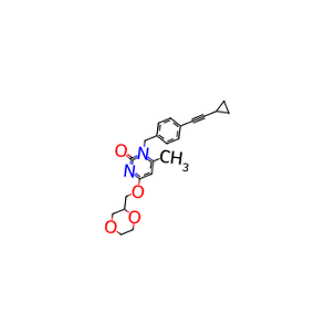 Cc1cc(OCC2COCCO2)nc(=O)n1Cc1ccc(C#CC2CC2)cc1